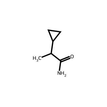 CC(C(N)=O)C1CC1